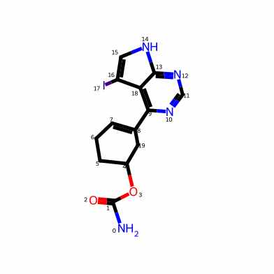 NC(=O)OC1CCC=C(c2ncnc3[nH]cc(I)c23)C1